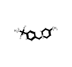 CC1=CCN(Cc2ccc(C(C)(F)F)cc2)CC1